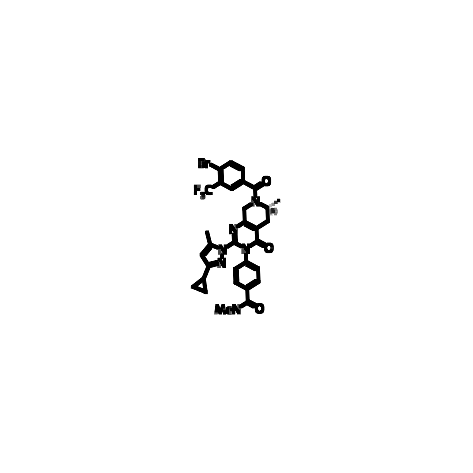 CNC(=O)c1ccc(-n2c(-n3nc(C4CC4)cc3C)nc3c(c2=O)C[C@@H](C)N(C(=O)c2ccc(Br)c(C(F)(F)F)c2)C3)cc1